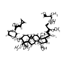 COC(CNC(C)C=O)C[C@@H](C)[C@H]1C[C@H](O)[C@@]2(C)C3CC[C@H]4C(C)(C)C(O[C@H]5CN(C(=O)CC6CC6)CCO5)CCC45CC35CCC12C